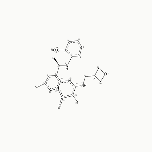 Cc1cc([C@@H](C)Nc2ccccc2C(=O)O)c2nc(NCC3COC3)c(C)c(=O)n2c1